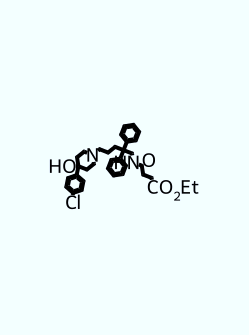 CCOC(=O)CCC(=O)NCC(CCCN1CCC(O)(c2ccc(Cl)cc2)CC1)(c1ccccc1)c1ccccc1